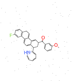 COc1cccc(C(=O)C2C=c3c(ccc4c3=CCc3ccc(F)cc3-4)C(C3=CC=CC=CN3)C2)c1